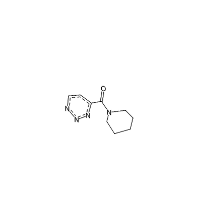 O=C(c1ccnnn1)N1CCCCC1